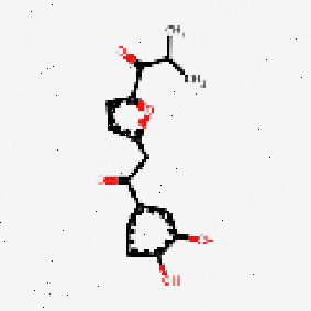 CC(C)C(=O)c1ccc(CC(=O)c2ccc(O)c(O)c2)o1